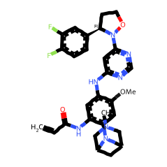 C=CC(=O)Nc1cc(Nc2cc(N3OCC[C@@H]3c3ccc(F)c(F)c3)ncn2)c(OC)cc1N1C2CC1CN(C)C2